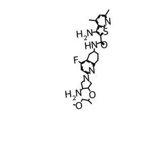 COCC(C)OC1CN(c2cc(F)c3c(n2)CCC(NC(=O)c2sc4nc(C)cc(C)c4c2N)C3)CC1N